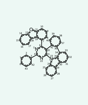 c1ccc(-c2nc(-c3cccc4oc5ccccc5c34)c3c(n2)-n2c4ccccc4c4cccc(c42)-c2ccccc2-3)cc1